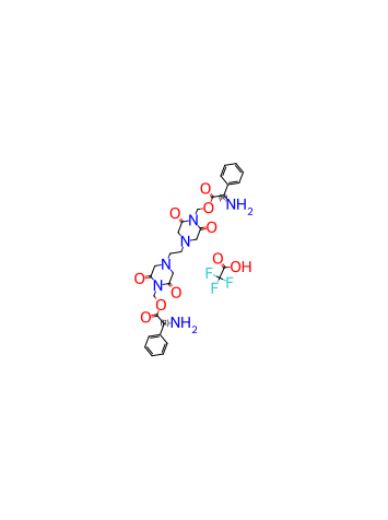 N[C@@H](C(=O)OCN1C(=O)CN(CCN2CC(=O)N(COC(=O)[C@H](N)c3ccccc3)C(=O)C2)CC1=O)c1ccccc1.O=C(O)C(F)(F)F